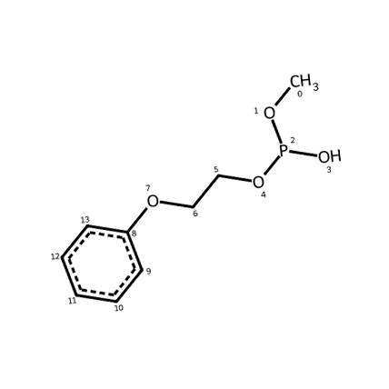 COP(O)OCCOc1ccccc1